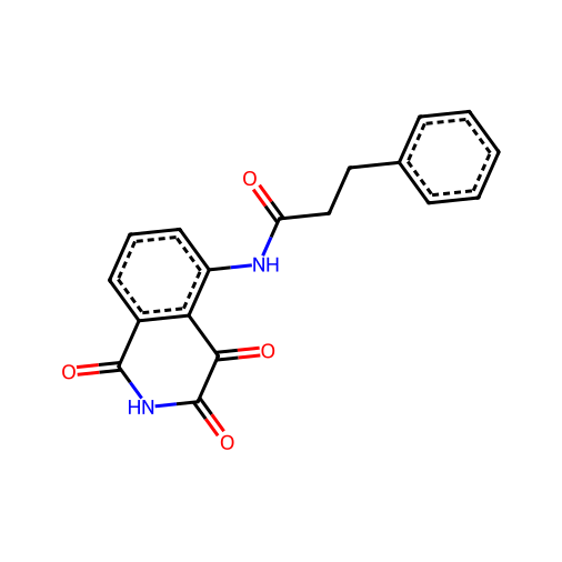 O=C(CCc1ccccc1)Nc1cccc2c1C(=O)C(=O)NC2=O